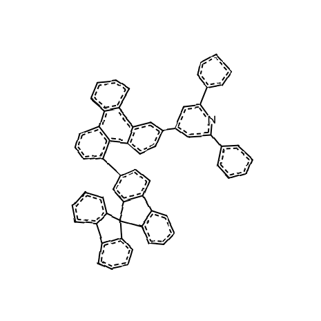 c1ccc(-c2cc(-c3ccc4c(c3)c3ccccc3c3cccc(-c5ccc6c(c5)C5(c7ccccc7-c7ccccc75)c5ccccc5-6)c34)cc(-c3ccccc3)n2)cc1